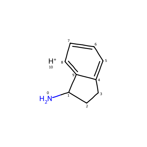 NC1CCc2ccccc21.[H+]